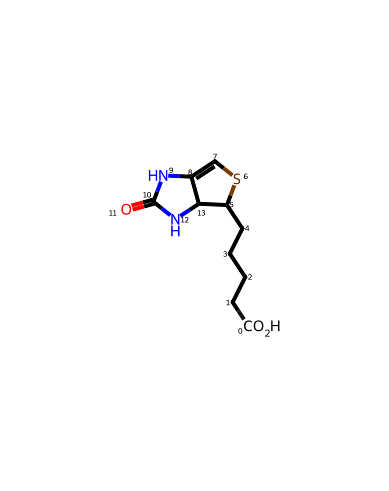 O=C(O)CCCCC1SC=C2NC(=O)NC21